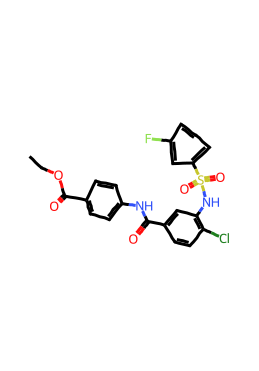 CCOC(=O)c1ccc(NC(=O)c2ccc(Cl)c(NS(=O)(=O)c3cccc(F)c3)c2)cc1